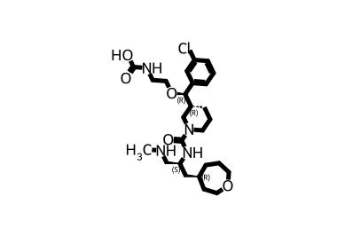 CNC[C@H](C[C@H]1CCCOCC1)NC(=O)N1CCC[C@@H]([C@@H](OCCNC(=O)O)c2cccc(Cl)c2)C1